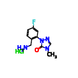 Cl.Cn1cnn(-c2cc(F)ccc2CN)c1=O